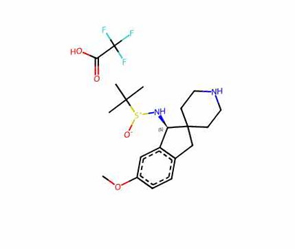 COc1ccc2c(c1)[C@@H](N[S+]([O-])C(C)(C)C)C1(CCNCC1)C2.O=C(O)C(F)(F)F